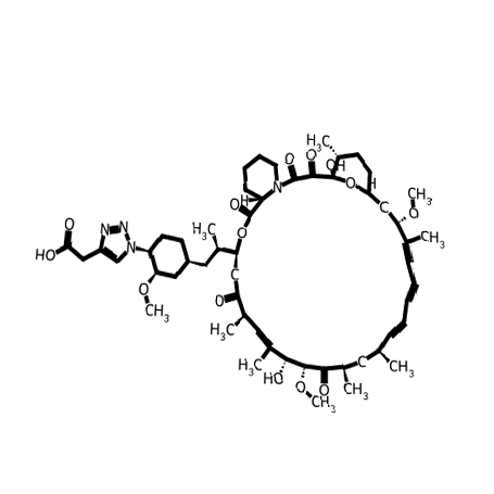 CO[C@H]1C[C@@H]2CC[C@@H](C)[C@@](O)(O2)C(=O)C(=O)N2CCCC[C@H]2C(=O)O[C@H]([C@H](C)C[C@@H]2CC[C@H](n3cc(CC(=O)O)nn3)[C@H](OC)C2)CC(=O)[C@H](C)/C=C(\C)[C@@H](O)[C@@H](OC)C(=O)[C@H](C)C[C@H](C)/C=C/C=C/C=C/1C